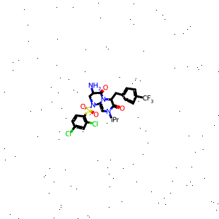 CC(C)N1C=C2N(C(=O)C(N)CN2S(=O)(=O)c2ccc(Cl)cc2Cl)C(Cc2ccc(C(F)(F)F)cc2)C1=O